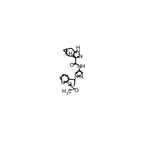 CC12Cc3[nH]nc(C(=O)Nc4cnn(C(CS(C)(=O)=O)c5cccnc5)c4)c3CC1C2